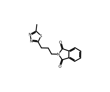 Cc1nnc(CCCN2C(=O)c3ccccc3C2=O)s1